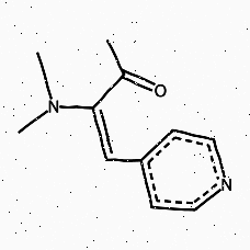 CC(=O)/C(=C\c1ccncc1)N(C)C